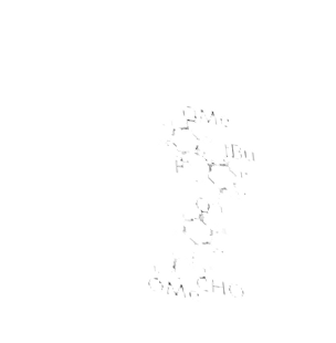 COC/C=C/[C@H](CC=O)c1ccc(OCc2ccc(C(C)(C)C)c(-c3cc(OC)ccc3F)c2)cc1